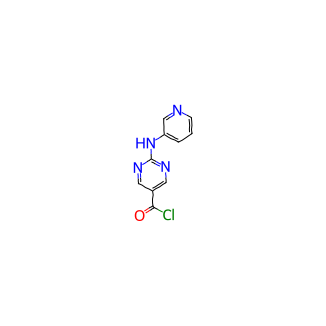 O=C(Cl)c1cnc(Nc2cccnc2)nc1